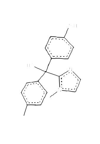 Cn1ccnc1C(O)(c1ccc(Cl)cc1)c1ccc([AsH2])cc1